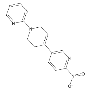 O=[N+]([O-])c1ccc(C2=CCN(c3ncccn3)CC2)cn1